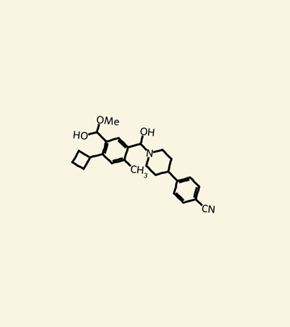 COC(O)c1cc(C(O)N2CCC(c3ccc(C#N)cc3)CC2)c(C)cc1C1CCC1